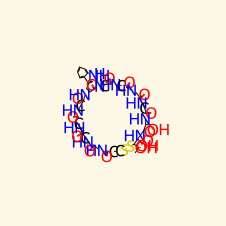 CC(O)C1SSCCC(=O)NCC(=O)NCC(=O)NCC(=O)NCC(=O)NC(Cc2c[nH]c3ccccc23)C(=O)NCC(=O)NCC(=O)NCC(=O)NCC(=O)NC(CO)C(=O)NC1C(=O)O